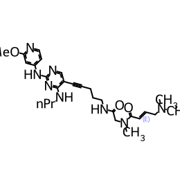 CCCNc1nc(Nc2ccnc(OC)c2)ncc1C#CCCCNC(=O)CN(C)C(=O)/C=C/CN(C)C